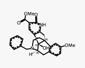 COC(=O)c1cc2c([nH]c1=O)C[C@]13CCN(Cc4ccccc4)[C@H](Cc4ccc(OC)cc41)[C@]3(O)C2